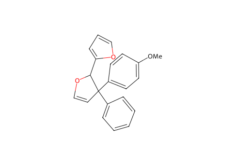 COc1ccc(C2(c3ccccc3)C=COC2c2ccco2)cc1